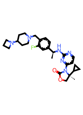 C[C@H](Nc1nccc(N2C(=O)OC[C@]2(C)C2CC2)n1)c1ccc(CN2CCC(N3CCC3)CC2)c(F)c1